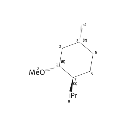 CO[C@@H]1C[C@H](C)CC[C@H]1C(C)C